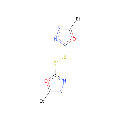 CCc1nnc(SSc2nnc(CC)o2)o1